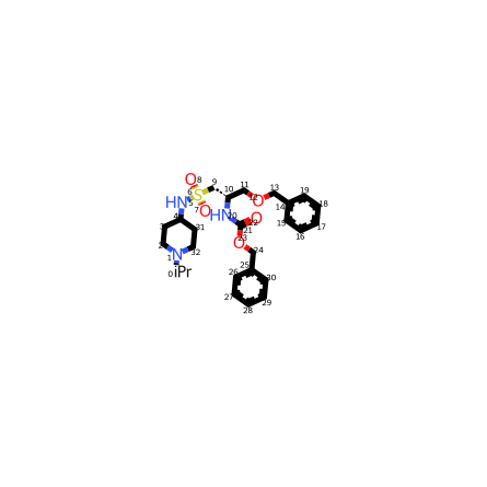 CC(C)N1CCC(NS(=O)(=O)C[C@H](COCc2ccccc2)NC(=O)OCc2ccccc2)CC1